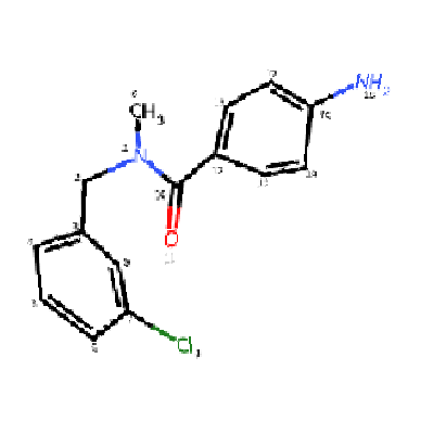 CN(Cc1cccc(Cl)c1)C(=O)c1ccc(N)cc1